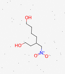 O=[N+]([O-])CC(CCO)CCCCO